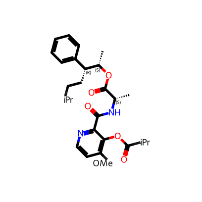 COc1ccnc(C(=O)N[C@@H](C)C(=O)O[C@@H](C)[C@H](CCC(C)C)c2ccccc2)c1OC(=O)C(C)C